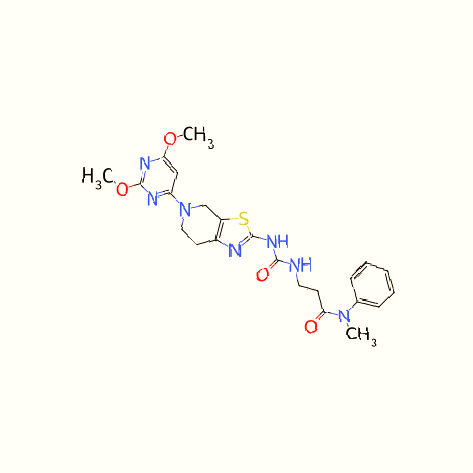 COc1cc(N2CCc3nc(NC(=O)NCCC(=O)N(C)c4ccccc4)sc3C2)nc(OC)n1